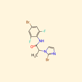 CC(C(=O)Nc1c(F)cc(Br)cc1F)n1ccnc1Br